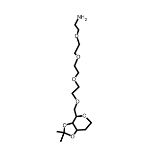 CC1(C)OC2CCOC(COCCOCCOCCOCCN)C2O1